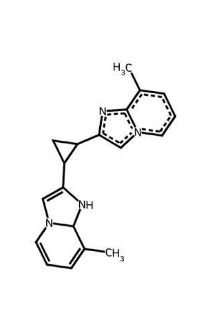 CC1=CC=CN2C=C(C3CC3c3cn4cccc(C)c4n3)NC12